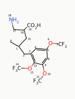 CC(Cc1cc(OC(F)(F)F)cc(OC(F)(F)F)c1OC(F)(F)F)CC(CN)C(=O)O